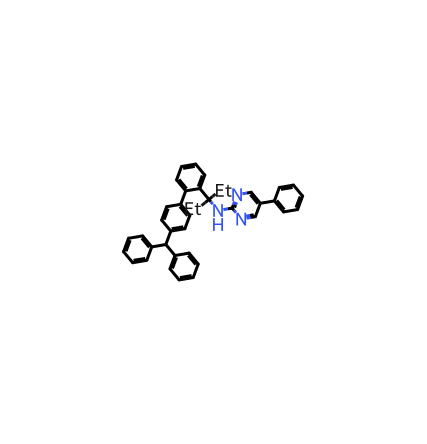 CCC(CC)(Nc1ncc(-c2ccccc2)cn1)c1ccccc1-c1ccc(C(c2ccccc2)c2ccccc2)cc1